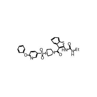 CCNC(=O)Nc1sc2ccccc2c1C(=O)N1CCN(S(=O)(=O)c2ccc(Oc3ccccc3)nc2)CC1